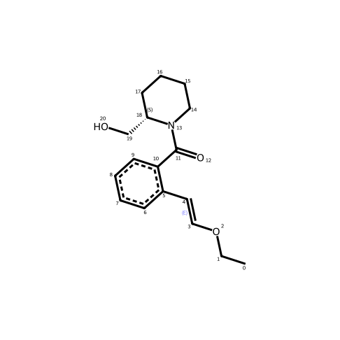 CCO/C=C/c1ccccc1C(=O)N1CCCC[C@H]1CO